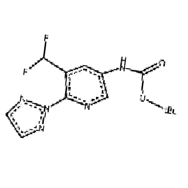 CC(C)(C)OC(=O)Nc1cnc(-n2nccn2)c(C(F)F)c1